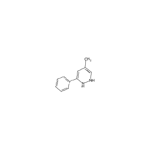 CC1=CNNC(c2ccccc2)=C1